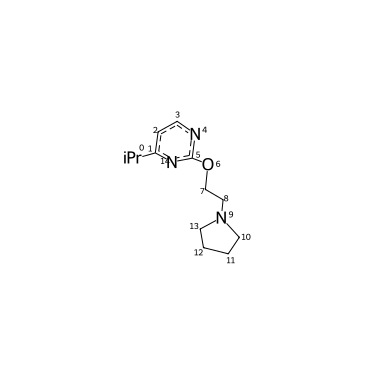 CC(C)c1ccnc(OCCN2CCCC2)n1